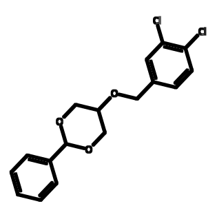 Clc1ccc(COC2COC(c3ccccc3)OC2)cc1Cl